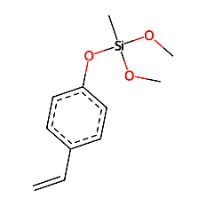 C=Cc1ccc(O[Si](C)(OC)OC)cc1